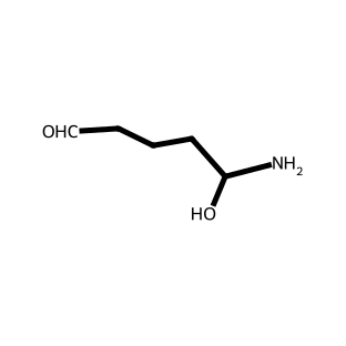 NC(O)CCCC=O